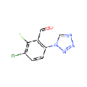 O=Cc1c(-n2cnnn2)ccc(Cl)c1F